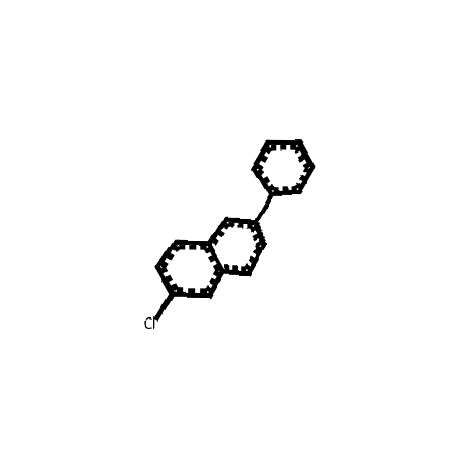 Clc1ccc2cc(-c3ccccc3)ccc2c1